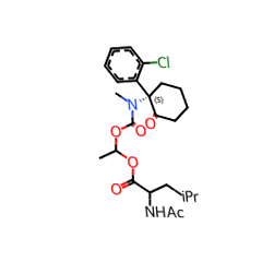 CC(=O)NC(CC(C)C)C(=O)OC(C)OC(=O)N(C)[C@]1(c2ccccc2Cl)CCCCC1=O